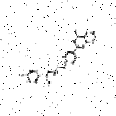 CC(c1cccnc1)N(C)C(=O)c1ccc(CCNC[C@H](O)c2ccc(Cl)nc2)cc1